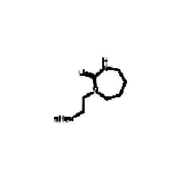 CCCCCCCCN1CCCCNC1=O